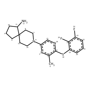 Cc1nc(N2CCC3(CCCC3N)CC2)cnc1Sc1cccc(F)c1F